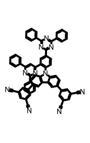 N#Cc1cc(C#N)cc(-c2ccc3c(c2)c2cc(-c4cc(C#N)cc(C#N)c4)ccc2n3-c2ccc(-c3nc(-c4ccccc4)nc(-c4ccccc4)n3)cc2-c2cc(-c3ccccc3)nc(-c3ccccc3)n2)c1